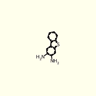 Nc1cc2sc3ccccc3c2cc1N